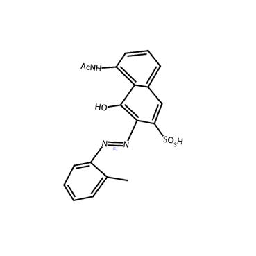 CC(=O)Nc1cccc2cc(S(=O)(=O)O)c(/N=N/c3ccccc3C)c(O)c12